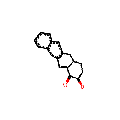 O=C1CCC2Cc3cc4ccccc4cc3C=C2C1=O